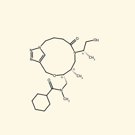 C[C@H]1CN([C@@H](C)CO)C(=O)CCCn2cc(nn2)CO[C@H]1CN(C)C(=O)C1CCCCC1